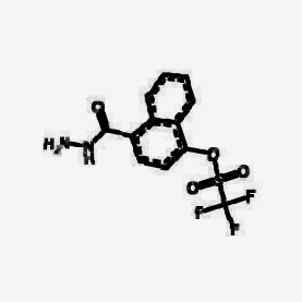 NNC(=O)c1ccc(OS(=O)(=O)C(F)(F)F)c2ccccc12